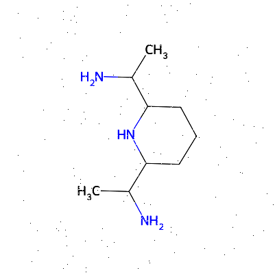 CC(N)C1CCCC(C(C)N)N1